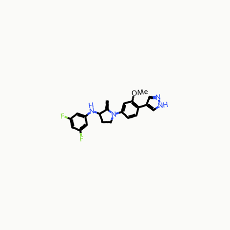 C=C1C(Nc2cc(F)cc(F)c2)CCN1c1ccc(-c2cn[nH]c2)c(OC)c1